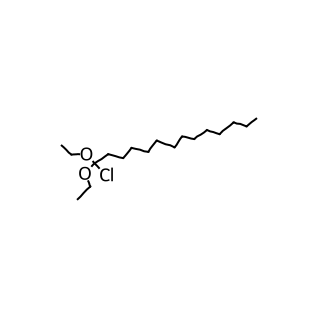 CCCCCCCCCCCCCC(Cl)(OCC)OCC